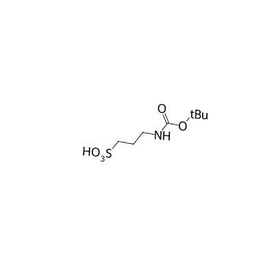 CC(C)(C)OC(=O)NCCCS(=O)(=O)O